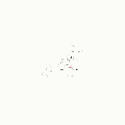 Cc1cc2cn[nH]c2cc1-c1ccc2c(N3C[C@H]4CC[C@@H](C3)N4C(=O)OC(C)(C)C)nc(OC[C@@]34CCCN3C[C@H](F)C4)nc2c1F